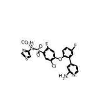 Nc1cc(-c2cc(F)ccc2Oc2cc(F)c(S(=O)(=O)N(C(=O)O)c3cscn3)cc2Cl)ccn1